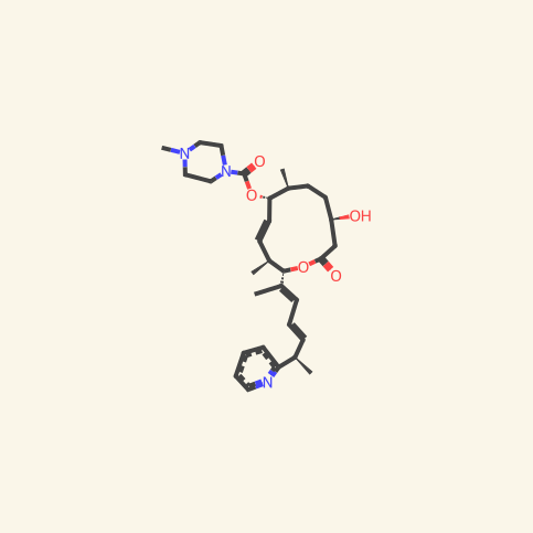 C/C(=C\C=C\[C@@H](C)c1ccccn1)[C@H]1OC(=O)C[C@H](O)CC[C@H](C)[C@@H](OC(=O)N2CCN(C)CC2)/C=C/[C@@H]1C